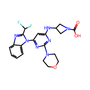 O=C(O)N1CC(Nc2cc(-n3c(C(F)F)nc4ccccc43)nc(N3CCOCC3)n2)C1